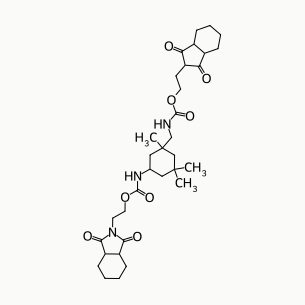 CC1(C)CC(NC(=O)OCCN2C(=O)C3CCCCC3C2=O)CC(C)(CNC(=O)OCCC2C(=O)C3CCCCC3C2=O)C1